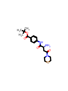 CC(C)(C)OC(=O)c1ccc(NC(=O)[C@@H](N)CC(=O)N2CCSCC2)cc1